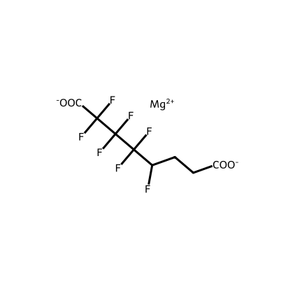 O=C([O-])CCC(F)C(F)(F)C(F)(F)C(F)(F)C(=O)[O-].[Mg+2]